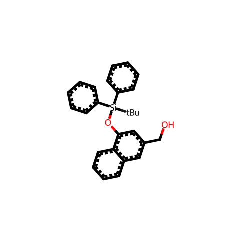 CC(C)(C)[Si](Oc1cc(CO)cc2ccccc12)(c1ccccc1)c1ccccc1